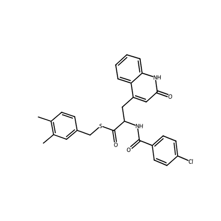 Cc1ccc(CSC(=O)C(Cc2cc(=O)[nH]c3ccccc23)NC(=O)c2ccc(Cl)cc2)cc1C